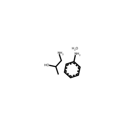 CC(O)CN.Nc1ccccc1.O